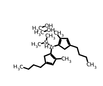 CCCCC1=CC(C)=[C]([Zr]([C]2=C(C)C=C(CCCC)C2)[SiH](C)C)C1.CO.CO